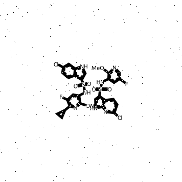 COc1nc(C2CC2)c(F)cc1NS(=O)(=O)c1c[nH]c2cc(Cl)ccc12.COc1ncc(F)cc1NS(=O)(=O)c1c[nH]c2nc(Cl)ccc12